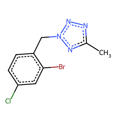 Cc1nnn(Cc2ccc(Cl)cc2Br)n1